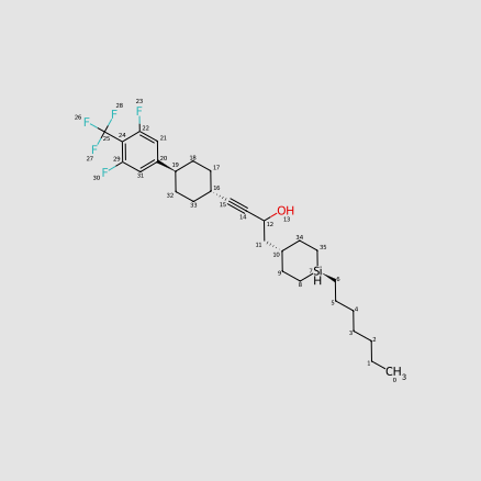 CCCCCCC[Si@H]1CC[C@H](CC(O)C#C[C@H]2CC[C@H](c3cc(F)c(C(F)(F)F)c(F)c3)CC2)CC1